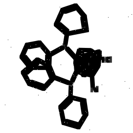 Cl.[Pd][C]12[CH]3[CH]4[C]5(P(c6ccccc6)c6ccccc6)[C]1(P(c1ccccc1)c1ccccc1)[Fe]34251678[CH]2[CH]1[CH]6[CH]7[CH]28